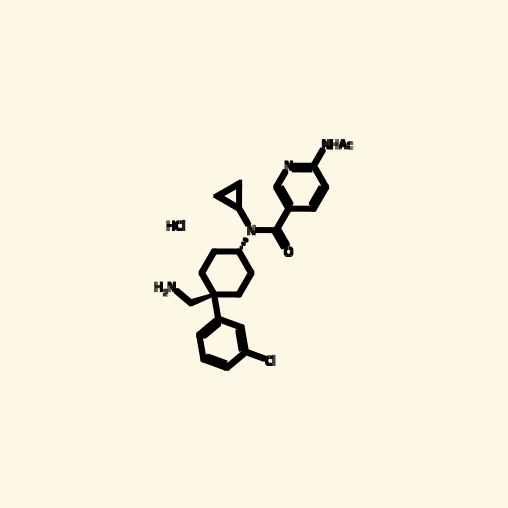 CC(=O)Nc1ccc(C(=O)N(C2CC2)[C@H]2CC[C@@](CN)(c3cccc(Cl)c3)CC2)cn1.Cl